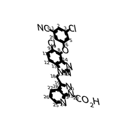 N#Cc1cc(Cl)cc(Oc2c(Cl)ccc3c2nnn3Cc2nn(C(=O)O)c3ncccc23)c1